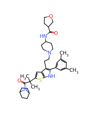 Cc1cc(C)cc(-c2[nH]c3sc(C(C)(C)C(=O)N4C5CCC4CC5)cc3c2CCN2CCC(NC(=O)C3CCOC3)CC2)c1